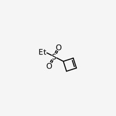 CCS(=O)(=O)C1C=CC1